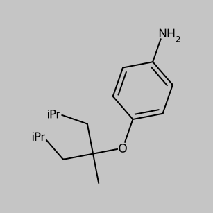 CC(C)CC(C)(CC(C)C)Oc1ccc(N)cc1